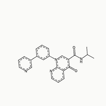 CC(C)NC(=O)c1cn(-c2cccc(-c3cccnc3)c2)c2ncccc2c1=O